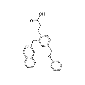 O=C(O)CCc1ccc(COc2ccccc2)cc1Cc1ccc2ccccc2c1